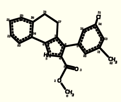 COC(=O)c1[nH]c2c(c1-c1cc(C)cc(Cl)c1)CCc1ccccc1-2